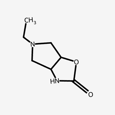 CCN1CC2NC(=O)OC2C1